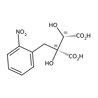 O=C(O)[C@@H](O)[C@@](O)(Cc1ccccc1[N+](=O)[O-])C(=O)O